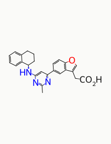 Cc1nc(N[C@@H]2CCCc3ccccc32)cc(-c2ccc3occ(CC(=O)O)c3c2)n1